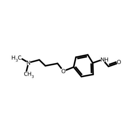 CN(C)CCCOc1ccc(NC=O)cc1